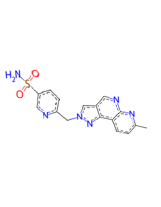 Cc1ccc2c(ncc3cn(Cc4ccc(S(N)(=O)=O)cn4)nc32)n1